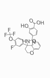 O=C(NC1(c2ccc(OC(F)(F)F)c(F)c2)CCOc2cccnc21)c1ccc(C(=O)O)c(O)c1